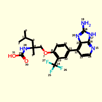 CC(C)CC(C)(COc1ccc(-c2ccnc3[nH]c(N)nc23)cc1C(F)(F)F)NC(=O)O